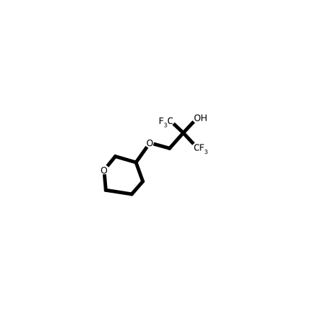 OC(COC1CCCOC1)(C(F)(F)F)C(F)(F)F